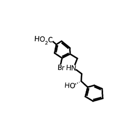 O=C(O)c1ccc(CNC[C@@H](O)c2ccccc2)c(Br)c1